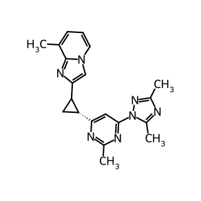 Cc1nc([C@@H]2CC2c2cn3cccc(C)c3n2)cc(-n2nc(C)nc2C)n1